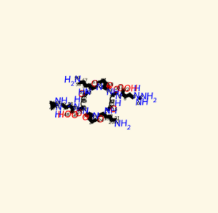 N=C(N)NCCCC(NC(=O)C1CCC(=O)NC(CCCCN)C(=O)N2CCCC2C(=O)NC(C(=O)NC(CCCNC2(N)CC2)C(=O)O)CCC(=O)NC(CCCCN)C(=O)N2CCCC2C(=O)N1)C(=O)O